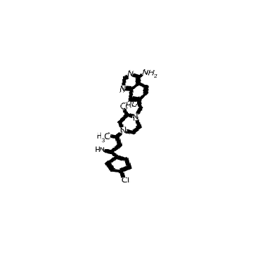 CC(CC(=N)c1ccc(Cl)cc1)N1CCN(Cc2ccc3c(N)ncnc3c2)C(C=O)C1